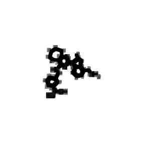 Cc1cc2c(CN)cccc2n1-c1nc2c(c(NCc3cccc(B(O)O)c3)n1)CCCCC2